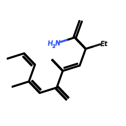 C=C(/C=C(C)\C=C/C)/C(C)=C/C(CC)C(=C)N